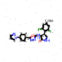 COc1cc(F)c(C2CNC(=O)[C@@H]2Nc2nnc(-c3ccc(-n4cccn4)cc3)o2)c(F)c1